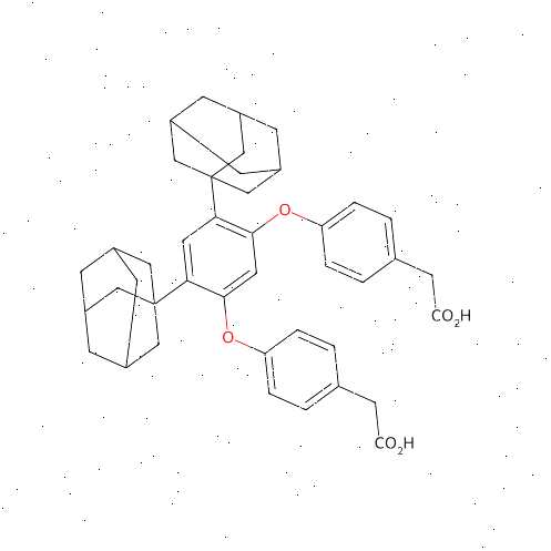 O=C(O)Cc1ccc(Oc2cc(Oc3ccc(CC(=O)O)cc3)c(C34CC5CC(CC(C5)C3)C4)cc2C23CC4CC(CC(C4)C2)C3)cc1